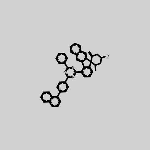 C=C1CC(CC)CC(C)C12c1cc3ccccc3cc1-c1c(-c3nc(-c4ccccc4)nc(-c4ccc(-c5cccc6ccccc56)cc4)n3)cccc12